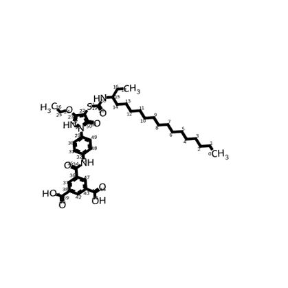 CCCCCCCCCCCCCCCC(CC)NC(=O)Sc1c(OCC)[nH]n(-c2ccc(NC(=O)c3cc(C(=O)O)cc(C(=O)O)c3)cc2)c1=O